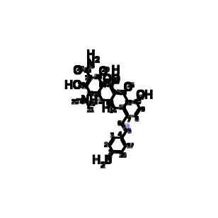 Bc1ccc(/C=C/c2ccc(O)c3c2C[C@H]2C[C@H]4C(N(C)C)C(O)=C(C(N)=O)C(=O)[C@@]4(O)C(O)=C2C3=O)cc1